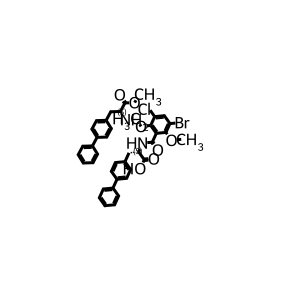 COC(=O)[C@@H](N)Cc1ccc(-c2ccccc2)cc1.COc1c(Cl)cc(Br)c(OC)c1C(=O)N[C@@H](Cc1ccc(-c2ccccc2)cc1)C(=O)O